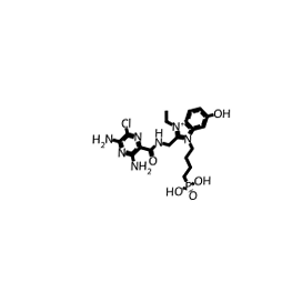 CC[n+]1c(CNC(=O)c2nc(Cl)c(N)nc2N)n(CCCCP(=O)(O)O)c2cc(O)ccc21